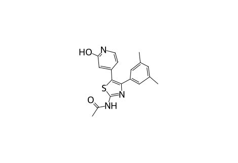 CC(=O)Nc1nc(-c2cc(C)cc(C)c2)c(-c2ccnc(O)c2)s1